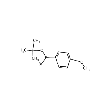 COc1ccc(P(Br)OC(C)(C)C)cc1